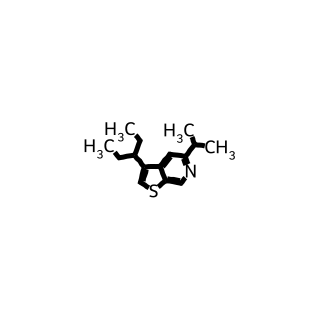 CCC(CC)c1csc2cnc(C(C)C)cc12